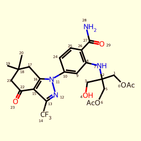 CC(=O)OCC(CO)(COC(C)=O)Nc1cc(-n2nc(C(F)(F)F)c3c2CC(C)(C)CC3=O)ccc1C(N)=O